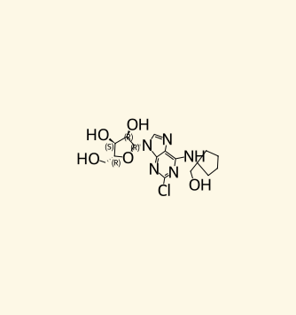 OC[C@H]1O[C@@H](n2cnc3c(NC4(CO)CCCC4)nc(Cl)nc32)[C@H](O)[C@@H]1O